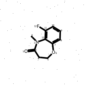 CN1C(=O)CCOc2cccc(F)c21